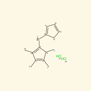 CC1=C(C)C(C)[C]([Zr][C]2=CC=CC2)=C1C.Cl.Cl